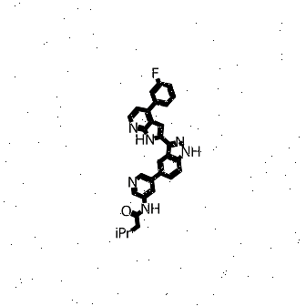 CC(C)CC(=O)Nc1cncc(-c2ccc3[nH]nc(-c4cc5c(-c6cccc(F)c6)ccnc5[nH]4)c3c2)c1